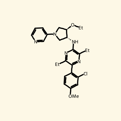 CCO[C@@H]1CN(c2cccnc2)C[C@H]1Nc1nc(CC)c(-c2ccc(OC)cc2Cl)nc1CC